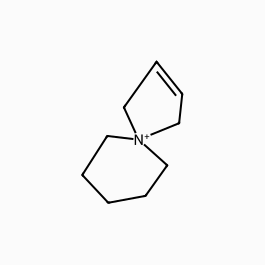 C1=CC[N+]2(C1)CCCCC2